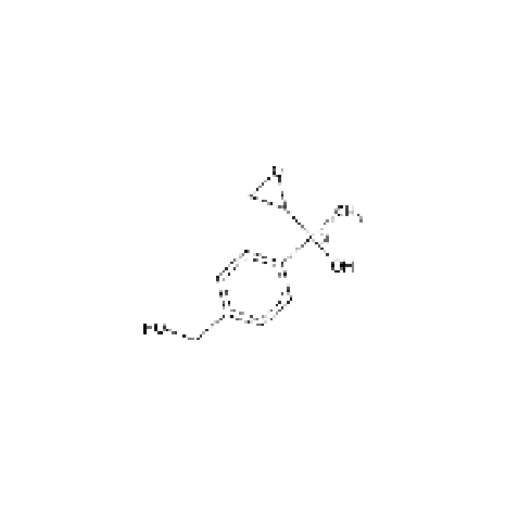 C[C@](O)(c1ccc(CO)cc1)C1CO1